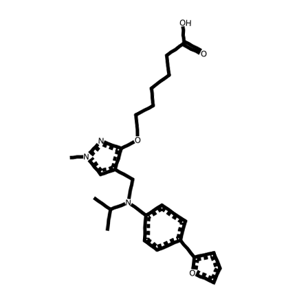 CC(C)N(Cc1cn(C)nc1OCCCCCC(=O)O)c1ccc(-c2ccco2)cc1